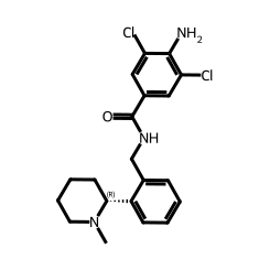 CN1CCCC[C@@H]1c1ccccc1CNC(=O)c1cc(Cl)c(N)c(Cl)c1